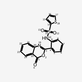 O=c1oc(-c2ccccc2NS(=O)(=O)c2cccs2)nc2ccccc12